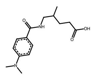 CC(CCC(=O)O)CNC(=O)c1ccc(N(C)C)cc1